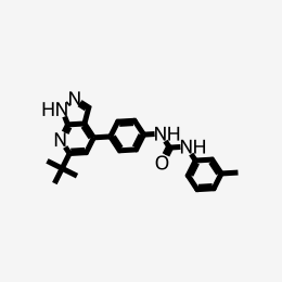 Cc1cccc(NC(=O)Nc2ccc(-c3cc(C(C)(C)C)nc4[nH]ncc34)cc2)c1